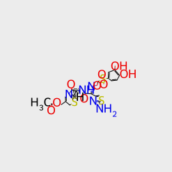 CC(=O)OCC1=CN2C(=O)[C@@H](NC(=O)C(=NOCS(=O)(=O)c3ccc(O)c(O)c3)c3csc(N)n3)[C@H]2SC1